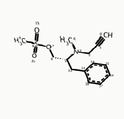 C#CCN(C)[C@@H](COS(C)(=O)=O)Cc1ccccc1